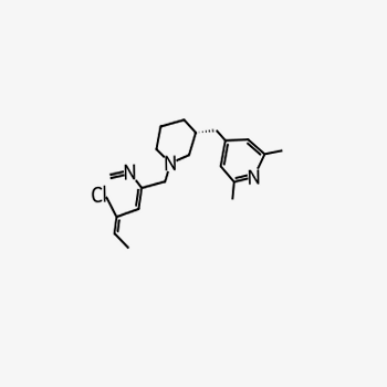 C=N/C(=C\C(Cl)=C/C)CN1CCC[C@H](Cc2cc(C)nc(C)c2)C1